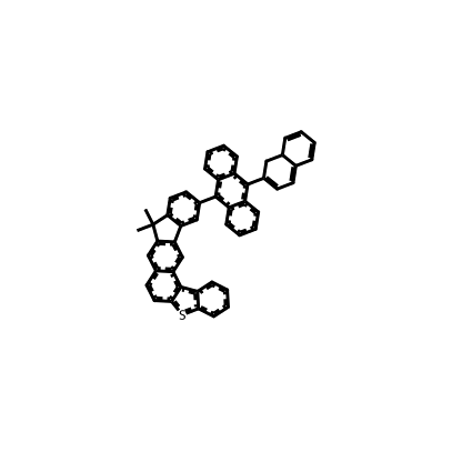 CC1(C)c2ccc(-c3c4ccccc4c(C4=CC=C5C=CC=CC5C4)c4ccccc34)cc2-c2cc3c(ccc4sc5ccccc5c43)cc21